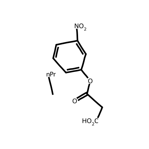 CCCC.O=C(O)CC(=O)Oc1cccc([N+](=O)[O-])c1